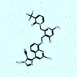 Cc1cc(Cl)c(COc2cccc3c(-c4ncn(C)c4C#N)cc(C)nc23)c(Cn2cccc(C(F)(F)F)c2=O)n1